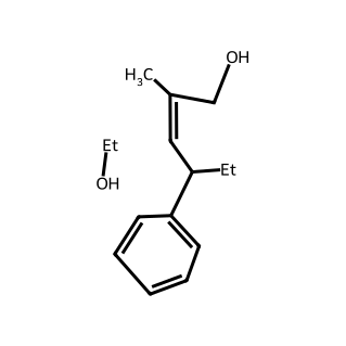 CCC(/C=C(/C)CO)c1ccccc1.CCO